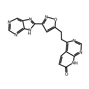 O=c1ccc2c(CCc3cc(-c4nc5cncnc5[nH]4)no3)ncnc2[nH]1